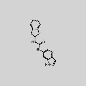 O=C(Nc1ccc2cc[nH]c2c1)NC1Cc2ccccc2C1